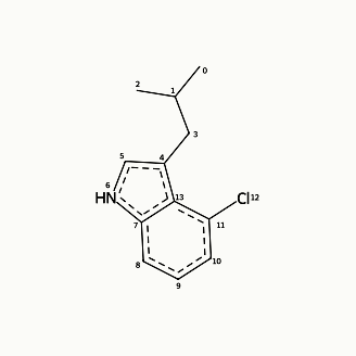 CC(C)Cc1c[nH]c2cccc(Cl)c12